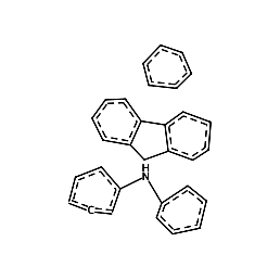 c1ccc(Nc2ccccc2)cc1.c1ccc2c(c1)Cc1ccccc1-2.c1ccccc1